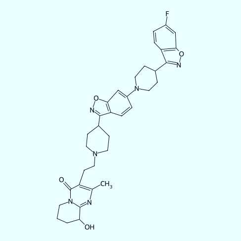 Cc1nc2n(c(=O)c1CCN1CCC(c3noc4cc(N5CCC(c6noc7cc(F)ccc67)CC5)ccc34)CC1)CCCC2O